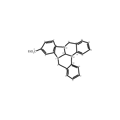 CCOC(=O)c1ccc2c(c1)N1Cc3ccccc3N3c4ccccc4CN2C13